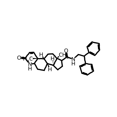 C[C@]12C=CC(=O)NC1CC[C@@H]1[C@H]2CC[C@]2(C)C(C(=O)NCC(c3ccccc3)c3ccccc3)CC[C@@H]12